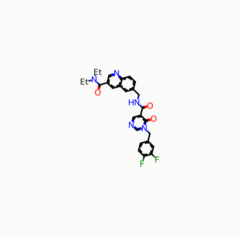 CCN(CC)C(=O)c1cnc2ccc(CNC(=O)c3cncn(Cc4ccc(F)c(F)c4)c3=O)cc2c1